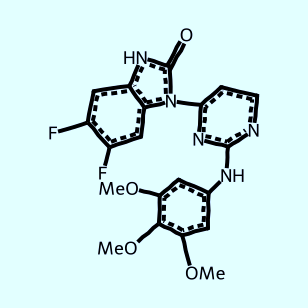 COc1cc(Nc2nccc(-n3c(=O)[nH]c4cc(F)c(F)cc43)n2)cc(OC)c1OC